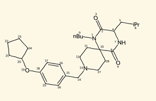 CCCCN1C(=O)C(CC(C)C)NC(=O)C12CCN(Cc1ccc(OC3CCCC3)cc1)CC2